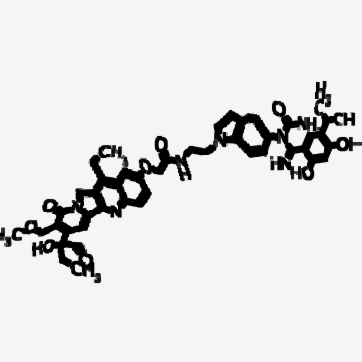 CCc1c2c(nc3ccc(OCC(=O)NCCn4ccc5cc(N(C(=N)c6cc(C(C)C)c(O)cc6O)C(N)=O)ccc54)cc13)-c1cc(C(O)(C=O)CC)c(COC)c(=O)n1C2